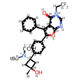 CC(C)(C)N(C(=O)O)[C@]1(c2ccc(-c3oc4ncn(CC(F)(F)F)c(=O)c4c3-c3ccccc3)cc2)C[C@](C)(O)C1